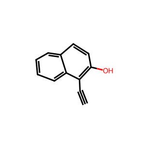 C#Cc1c(O)ccc2ccccc12